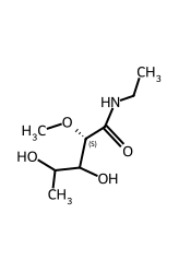 CCNC(=O)[C@@H](OC)C(O)C(C)O